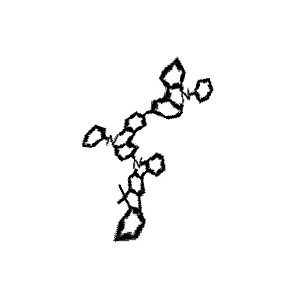 CC1(C)c2ccccc2-c2cc3c4ccccc4n(-c4ccc5c(c4)c4cc(-c6ccc7c(c6)c6ccccc6n7-c6ccccc6)ccc4n5-c4ccccc4)c3cc21